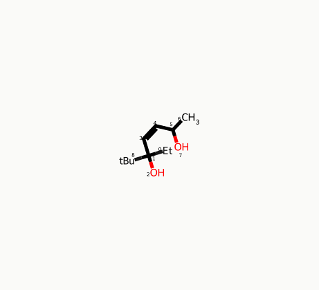 CCC(O)(/C=C\C(C)O)C(C)(C)C